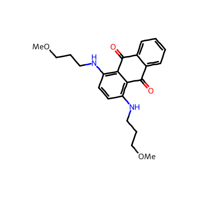 COCCCNc1ccc(NCCCOC)c2c1C(=O)c1ccccc1C2=O